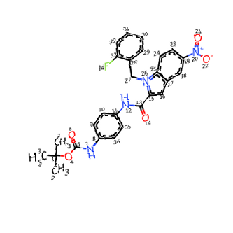 CC(C)(C)OC(=O)Nc1ccc(NC(=O)c2cc3cc([N+](=O)[O-])ccc3n2Cc2ccccc2F)cc1